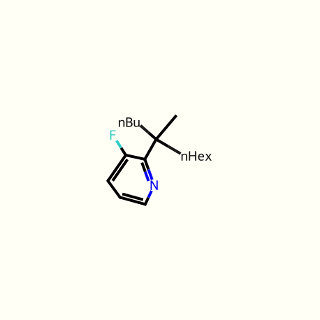 CCCCCCC(C)(CCCC)c1ncccc1F